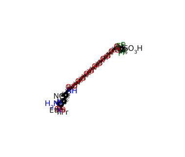 CCCN(OCC)C(=O)C1=Cc2ccc(-c3ccc(CNC(=O)CCOCCOCCOCCOCCOCCOCCOCCOCCOCCOCCC(=O)Oc4c(F)c(F)c(S(=O)(=O)O)c(F)c4F)cc3C#N)cc2N=C(N)C1